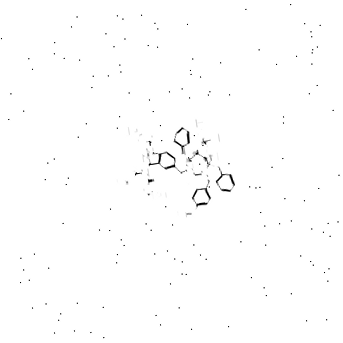 CCCCOc1ccc(CN2C(=O)N(Cc3ccc4c(c3)c(N(C(=O)OC(C)(C)C)C(=O)OC(C)(C)C)nn4C(=O)OC(C)(C)C)[C@H](Cc3ccccc3)[C@@H]3OC(C)(C)O[C@H]3[C@H]2Cc2ccccc2)cc1